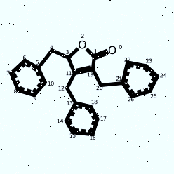 O=C1OC(Cc2ccccc2)C(Cc2ccccc2)=C1Cc1ccccc1